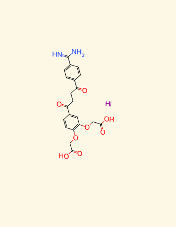 I.N=C(N)c1ccc(C(=O)CCC(=O)c2ccc(OCC(=O)O)c(OCC(=O)O)c2)cc1